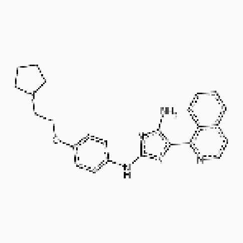 Nc1nc(Nc2ccc(OCCN3CCCC3)cc2)sc1-c1nccc2ccccc12